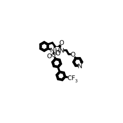 O=C(NCCOc1ccncc1)[C@@H]1Cc2ccccc2N1S(=O)(=O)c1ccc(-c2cccc(C(F)(F)F)c2)cc1